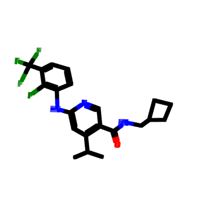 CC(C)c1cc(Nc2cccc(C(F)(F)F)c2F)ncc1C(=O)NCC1CCC1